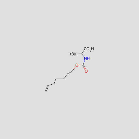 C=CCCCCCOC(=O)NC(C(=O)O)C(C)(C)C